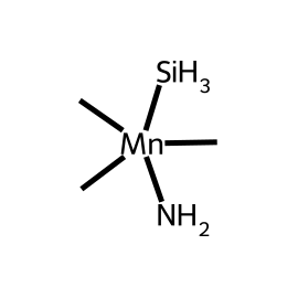 [CH3][Mn]([CH3])([CH3])([NH2])[SiH3]